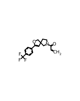 C=CC(=O)N1CCC2(C=C(c3ccc(C(F)(F)F)cc3)OC2)C1